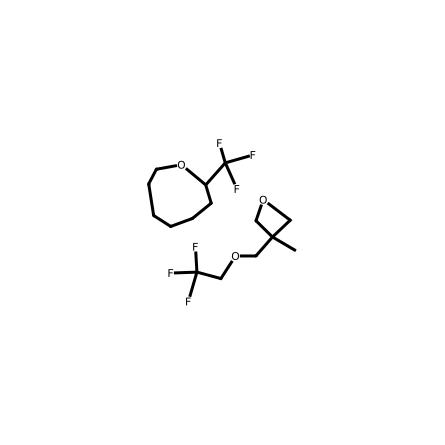 CC1(COCC(F)(F)F)COC1.FC(F)(F)C1CCCCCCO1